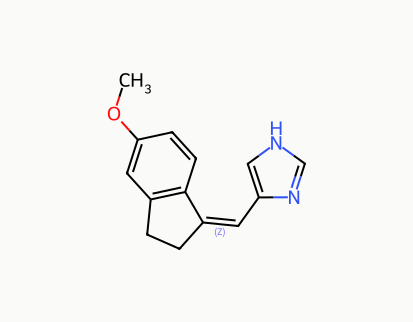 COc1ccc2c(c1)CC/C2=C/c1c[nH]cn1